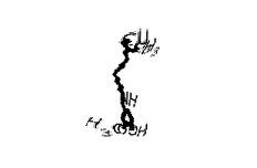 CCC(CC)CCC#CCCCCCNCc1ccc(O)c(OC)c1